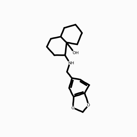 OC12CCCCC1CCCC2NCc1ccc2c(c1)OCO2